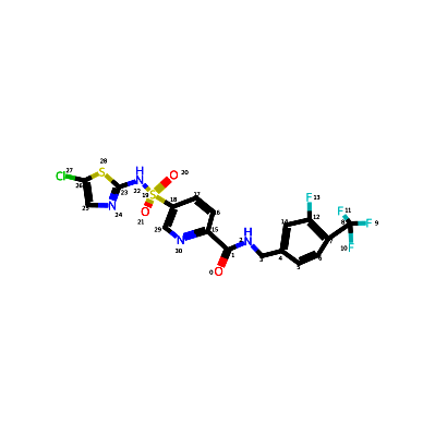 O=C(NCc1ccc(C(F)(F)F)c(F)c1)c1ccc(S(=O)(=O)Nc2ncc(Cl)s2)cn1